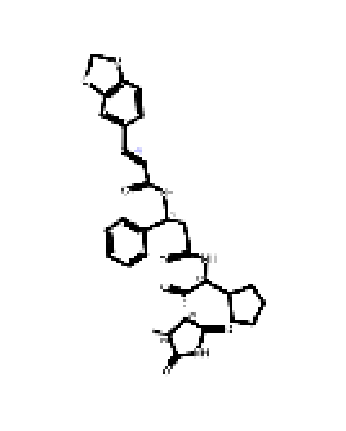 C[C@@H]1C(=O)NC(=O)[C@H]1C(=O)[C@@H](NC(=O)C[C@H](NC(=O)/C=C/c1ccc2c(c1)OCO2)c1ccccc1)C1CCCC1